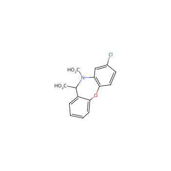 O=C(O)C1c2ccccc2Oc2ccc(Cl)cc2N1C(=O)O